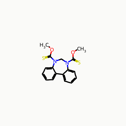 COC(=S)N1CN(C(=S)OC)c2ccccc2-c2ccccc21